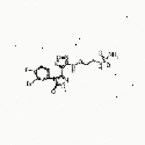 NS(=O)(=O)NCCONc1nonc1-c1noc(=O)n1-c1ccc(F)c(Br)c1